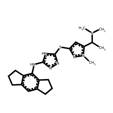 CC(c1cc(Sc2nnc(Nc3c4c(cc5c3CCC5)CCC4)[nH]2)nn1C)N(C)C